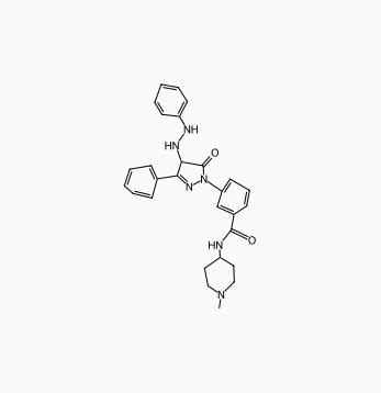 CN1CCC(NC(=O)c2cccc(N3N=C(c4ccccc4)C(NNc4ccccc4)C3=O)c2)CC1